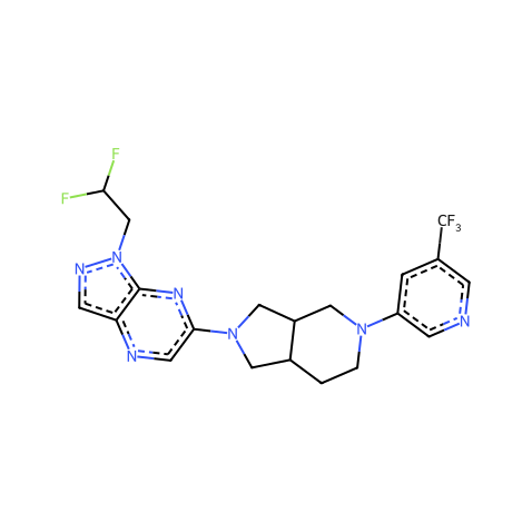 FC(F)Cn1ncc2ncc(N3CC4CCN(c5cncc(C(F)(F)F)c5)CC4C3)nc21